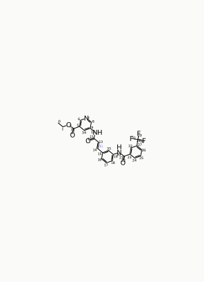 CCOC(=O)c1cncc(NC(=O)/C=C/c2cccc(NC(=O)c3cccc(C(F)(F)F)c3)c2)c1